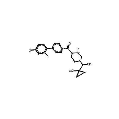 C[C@@H]1CN(C(O)C2(O)CC2)CCN1C(=O)c1ccc(-c2ccc(Cl)cc2F)cc1